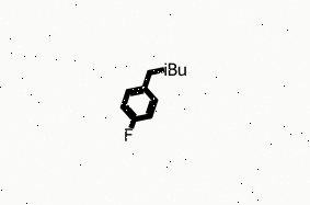 [CH2]C(CC)Cc1ccc(F)cc1